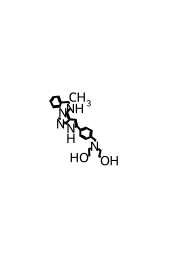 CC(Nc1ncnc2[nH]c(-c3ccc(CN(CCO)CCO)cc3)cc12)c1ccccc1